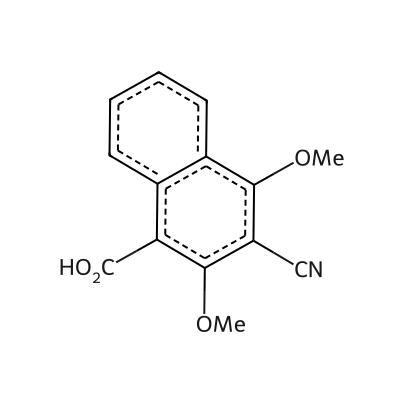 COc1c(C#N)c(OC)c2ccccc2c1C(=O)O